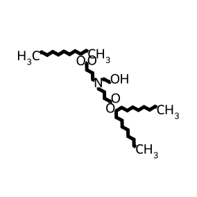 CCCCCCCCC(CC)OC(=O)CCCN(CCO)CCCC(=O)OC(CCCCCCCC)CCCCCCCC